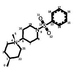 C[C@H]1CC[N@+](C)(C2CCN(S(=O)(=O)c3ccccc3)CC2)CC1